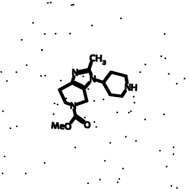 COC(=O)N1CCc2nc(C)n(C3CCNCC3)c2C1